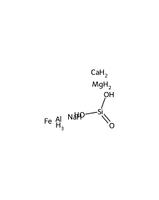 O=[Si](O)O.[AlH3].[CaH2].[Fe].[MgH2].[NaH]